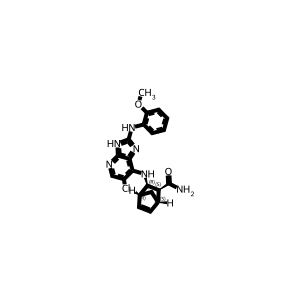 COc1ccccc1Nc1nc2c(N[C@H]3[C@@H](C(N)=O)[C@@H]4C=C[C@H]3C4)c(Cl)cnc2[nH]1